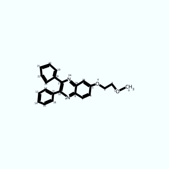 COCCOc1ccc2nc(-c3ccccc3)c(-c3ccccc3)nc2c1